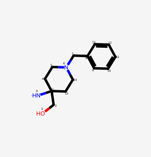 [NH]C1(CO)CCN(Cc2ccccc2)CC1